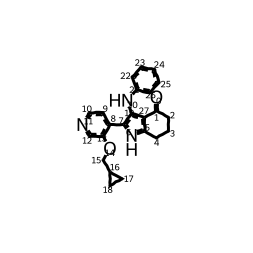 O=C1CCCc2[nH]c(-c3ccncc3OCC3CC3)c(Nc3ccccc3)c21